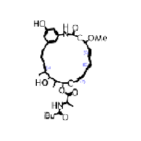 CCC(C)C(=O)NC(C)C(=O)OC1C\C=C/C=C/C=C/C(OC)CC(=O)Nc2cc(O)cc(c2)CC/C=C(\C)C(O)C1C